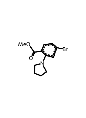 COC(=O)c1ccc(Br)cc1N1CCCC1